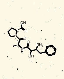 C[C@H](NC(=O)C(O)C(N)Cc1ccccc1)C(=O)N1CCC[C@H]1C(=O)O